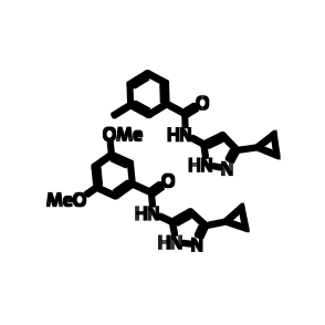 COc1cc(OC)cc(C(=O)Nc2cc(C3CC3)n[nH]2)c1.Cc1cccc(C(=O)Nc2cc(C3CC3)n[nH]2)c1